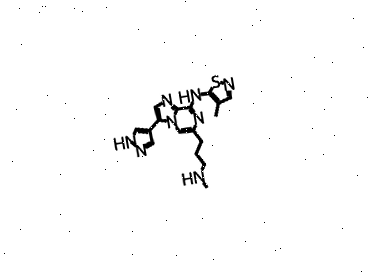 CNCCCc1cn2c(-c3cn[nH]c3)cnc2c(Nc2sncc2C)n1